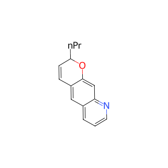 CCCC1C=Cc2cc3cccnc3cc2O1